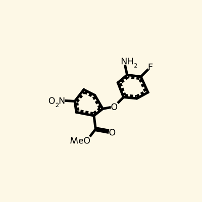 COC(=O)c1cc([N+](=O)[O-])ccc1Oc1ccc(F)c(N)c1